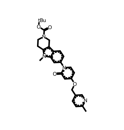 Cc1ccc(COc2ccn(-c3ccc4c5c(n(C)c4c3)CCN(C(=O)OC(C)(C)C)C5)c(=O)c2)cn1